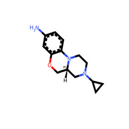 Nc1ccc2c(c1)OC[C@H]1CN(C3CC3)CCN21